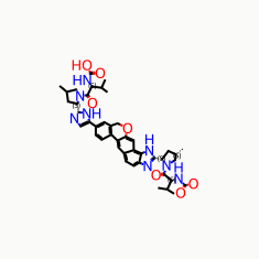 COC(=O)N[C@H](C(=O)N1C[C@@H](C)C[C@H]1c1nc2ccc3cc4c(cc3c2[nH]1)OCc1cc(-c2cnc([C@@H]3CC(C)CN3C(=O)[C@@H](NC(=O)O)C(C)C)[nH]2)ccc1-4)C(C)C